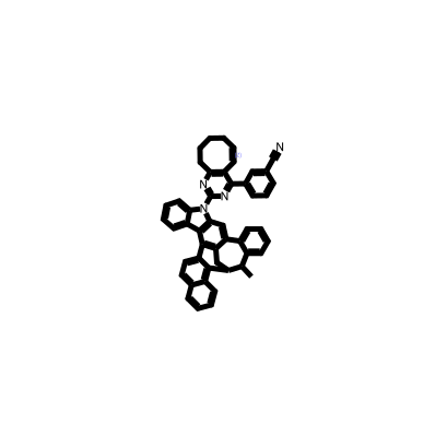 CC1c2ccccc2-c2cc3c(c4c2CC1c1c-4ccc2ccccc12)c1ccccc1n3-c1nc2c(c(-c3cccc(C#N)c3)n1)/C=C\CCCC2